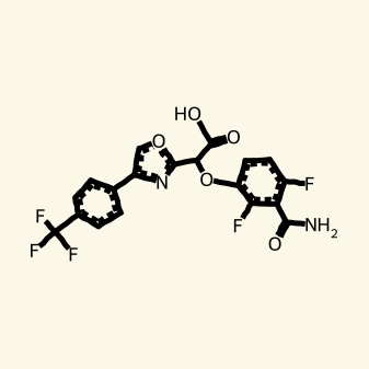 NC(=O)c1c(F)ccc(OC(C(=O)O)c2nc(-c3ccc(C(F)(F)F)cc3)co2)c1F